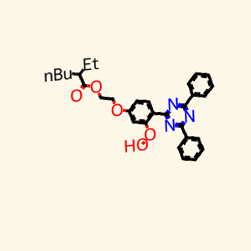 CCCCC(CC)C(=O)OCCOc1ccc(-c2nc(-c3ccccc3)nc(-c3ccccc3)n2)c(OO)c1